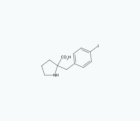 O=C(O)C1(Cc2ccc(I)cc2)CCCN1